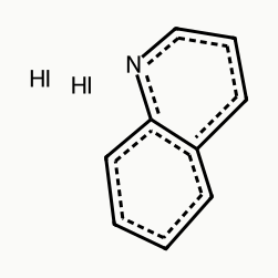 I.I.c1ccc2ncccc2c1